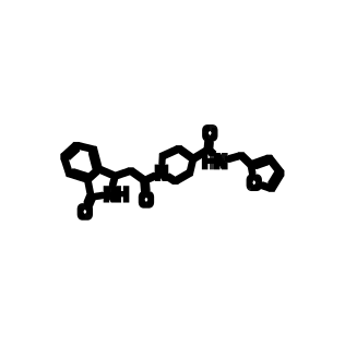 O=C1NC(CC(=O)N2CCC(C(=O)NCc3ccco3)CC2)c2ccccc21